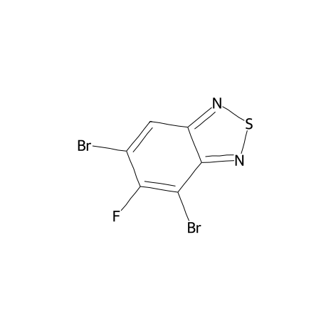 Fc1c(Br)cc2nsnc2c1Br